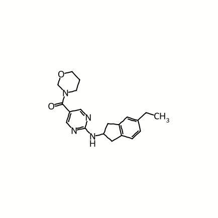 CCc1ccc2c(c1)CC(Nc1ncc(C(=O)N3CCCOC3)cn1)C2